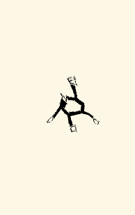 [CH2]Cc1cc(Cl)c(Cl)c(Cl)n1